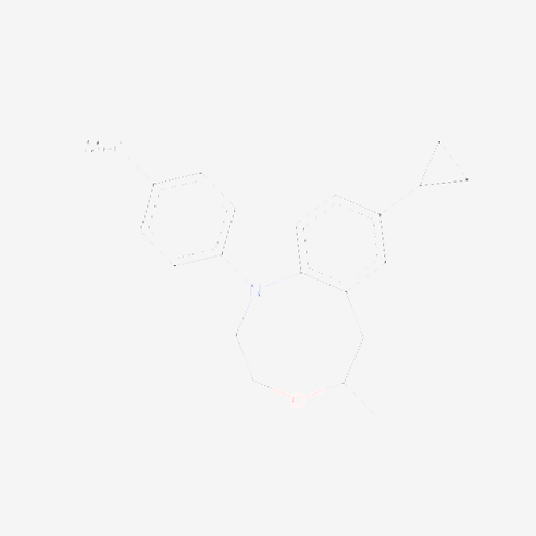 COc1ccc(N2CCOC(C)Cc3cc(C4CC4)ccc32)cc1